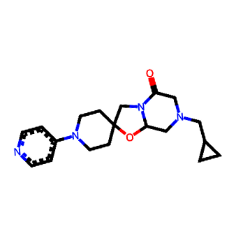 O=C1CN(CC2CC2)CC2OC3(CCN(c4ccncc4)CC3)CN12